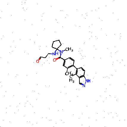 Cc1cc(C(=O)N(C)C2(NCCC=O)CCCC2)ccc1-c1ccc2[nH]ncc2c1C